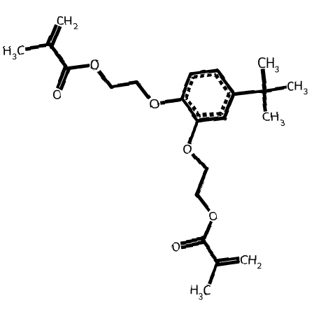 C=C(C)C(=O)OCCOc1ccc(C(C)(C)C)cc1OCCOC(=O)C(=C)C